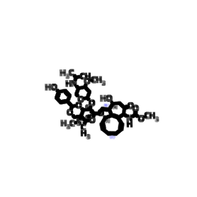 COC(=O)NC1C(=O)C[C@H](O)/C(=C/CS(C)=S)C2=C1C#C/C=C\C#C[C@@H]2OC1OC(C)C2(SC)COC(c3ccc(O)cc3)OC2C1OC1CC(OC)C(NC(C)C)CO1